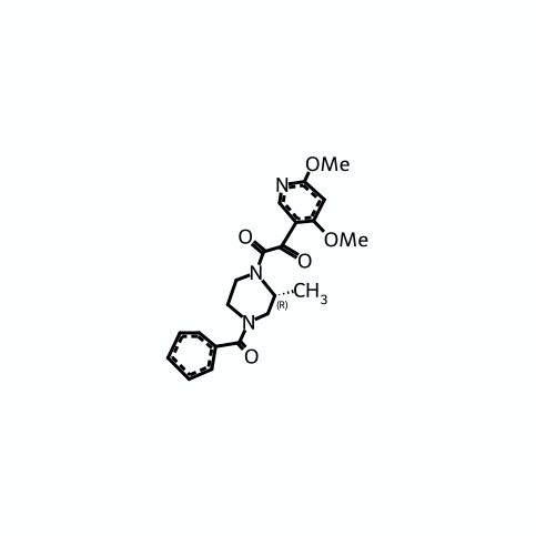 COc1cc(OC)c(C(=O)C(=O)N2CCN(C(=O)c3ccccc3)C[C@H]2C)cn1